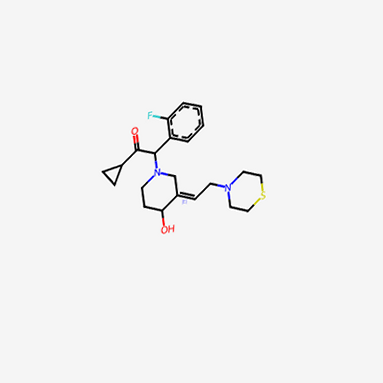 O=C(C1CC1)C(c1ccccc1F)N1CCC(O)/C(=C/CN2CCSCC2)C1